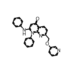 O=c1cc(Nc2ccccc2)n(-c2ccccc2)c2nc(COc3cccnc3)ccc12